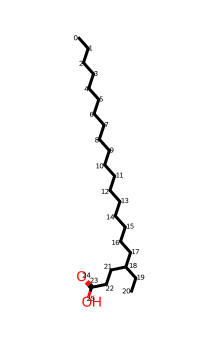 CCCCCCCCCCCCCCCCCCC(CC)CCC(=O)O